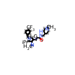 C=NC1=C(/C=C(\C)C(=O)NCC2CCN(C)CC2)CN(Cc2ccc(C(F)(F)F)cc2)[C@H]1C(C)C